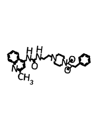 Cc1cc(NC(=O)NCCN2CCN(S(=O)(=O)Cc3ccccc3)CC2)c2ccccc2n1